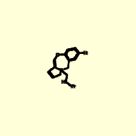 CCc1ccc2c(c1)C[N+]1(CNC(C)C)CC=CC1=CO2